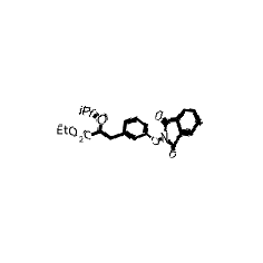 CCOC(=O)C(Cc1cccc(ON2C(=O)c3ccccc3C2=O)c1)OC(C)C